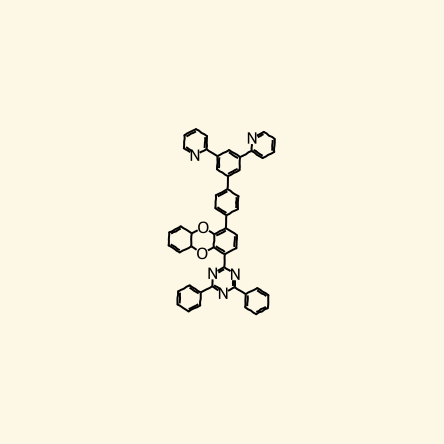 C1=CC2Oc3c(-c4ccc(-c5cc(-c6ccccn6)cc(-c6ccccn6)c5)cc4)ccc(-c4nc(-c5ccccc5)nc(-c5ccccc5)n4)c3OC2C=C1